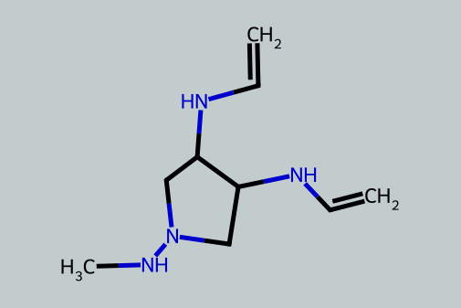 C=CNC1CN(NC)CC1NC=C